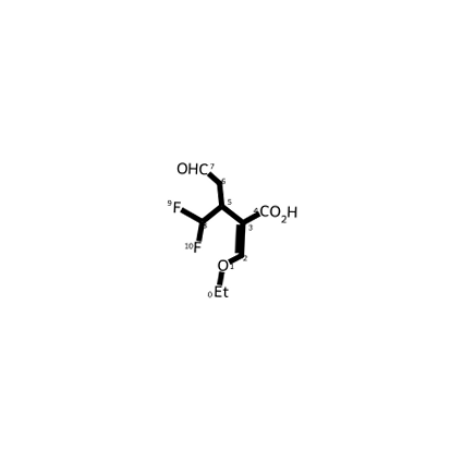 CCOC=C(C(=O)O)C(CC=O)C(F)F